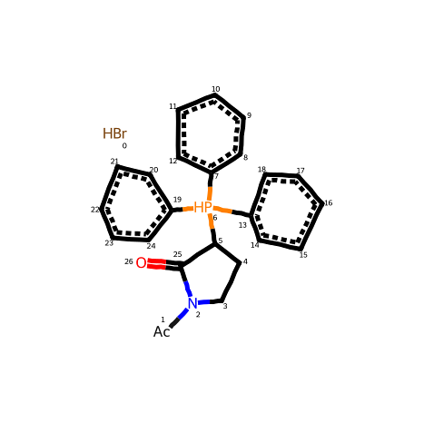 Br.CC(=O)N1CCC([PH](c2ccccc2)(c2ccccc2)c2ccccc2)C1=O